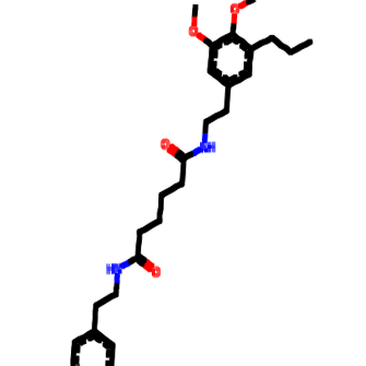 CCCc1cc(CCNC(=O)CCCCC(=O)NCCc2ccccc2)cc(OC)c1OC